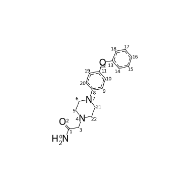 NC(=O)CN1CCN(c2ccc(Oc3ccccc3)cc2)CC1